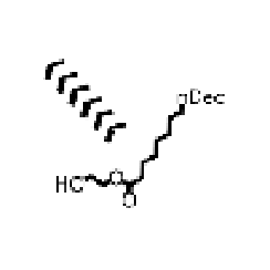 C=CC.C=CC.C=CC.C=CC.C=CC.C=CC.CCCCCCCCCCCCCCCCCC(=O)OCCO